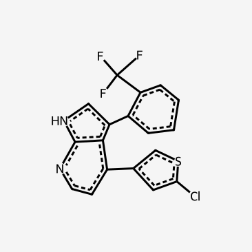 FC(F)(F)c1ccccc1-c1c[nH]c2nccc(-c3csc(Cl)c3)c12